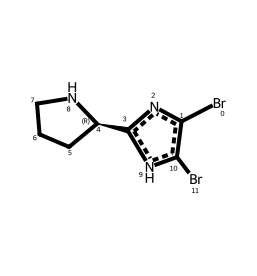 Brc1nc([C@H]2CCCN2)[nH]c1Br